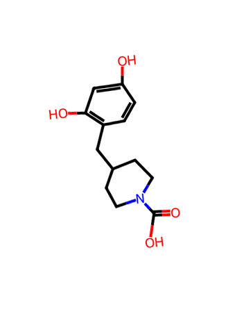 O=C(O)N1CCC(Cc2ccc(O)cc2O)CC1